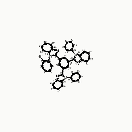 [B]c1ccccc1-n1c(-c2cc(-c3nc4ccccc4n3-c3ccccc3)cc(-c3nc4ccccc4n3-c3ccccc3)c2)nc2ccccc21